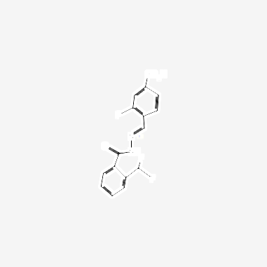 O=C(O)c1ccc(/C=N/NC(=O)c2ccccc2C(F)F)c(F)c1